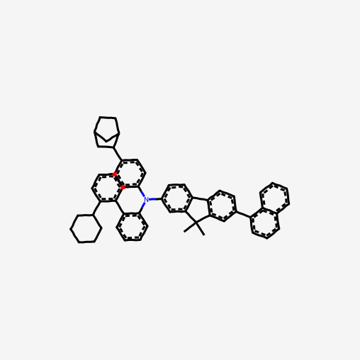 CC1(C)c2cc(-c3cccc4ccccc34)ccc2-c2ccc(N(c3ccc(C4CC5CCC4C5)cc3)c3ccccc3-c3ccccc3C3CCCCC3)cc21